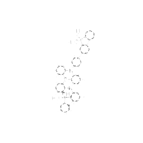 CC1(C)c2ccccc2-c2ccc(-c3ccc(N4c5ccccc5B5c6ccccc6N(c6cccc7c6C(C)(C)c6ccccc6-7)c6cccc4c65)cc3)cc21